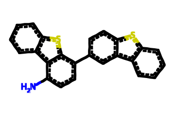 Nc1ccc(-c2ccc3sc4ccccc4c3c2)c2sc3ccccc3c12